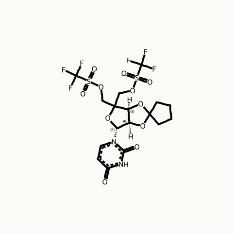 O=c1ccn([C@@H]2OC(COS(=O)(=O)C(F)(F)F)(COS(=O)(=O)C(F)(F)F)[C@H]3OC4(CCCC4)O[C@@H]23)c(=O)[nH]1